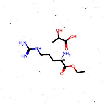 CC(O)C(=O)O.CCOC(=O)[C@@H](N)CCCNC(=N)N